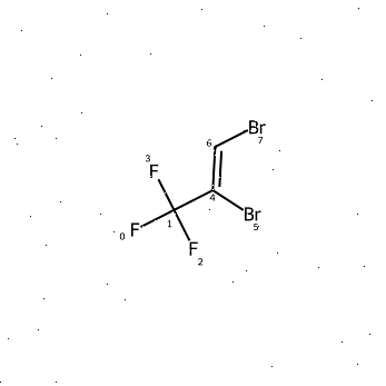 FC(F)(F)C(Br)=CBr